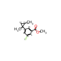 COC(=O)c1cc(F)cc(C2(C)CC2C)c1